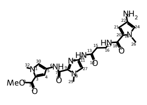 COC(=O)c1cc(NC(=O)c2nc(NC(=O)CCNC(=O)c3cc(N)cn3C)cn2C)cn1C